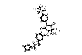 CC1(C)C(=O)N(c2ccc(S(=O)(=O)C(F)(F)F)cc2)C(=O)N1Cc1ccnc(NS(=O)(=O)c2cccs2)c1